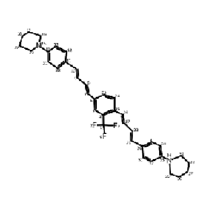 FC(F)(F)c1cc(C=CC=Cc2ccc(N3CCCCC3)cc2)ccc1C=CC=Cc1ccc(N2CCCCC2)cc1